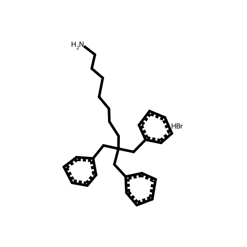 Br.NCCCCCCCC(Cc1ccccc1)(Cc1ccccc1)Cc1ccccc1